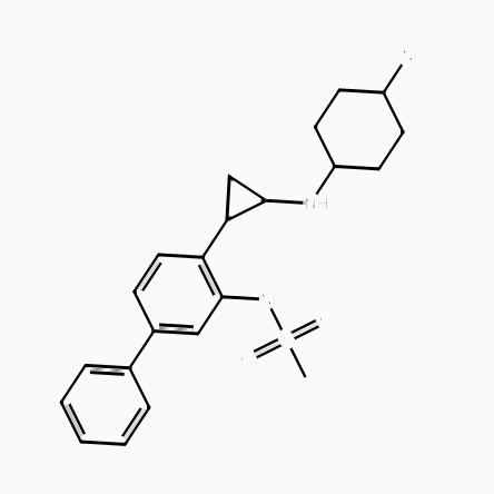 CS(=O)(=O)Nc1cc(-c2ccccc2)ccc1C1CC1NC1CCC(N)CC1